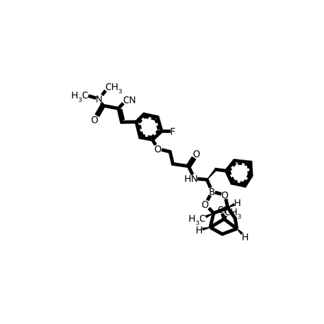 CN(C)C(=O)/C(C#N)=C/c1ccc(F)c(OCCC(=O)N[C@@H](Cc2ccccc2)B2O[C@@H]3C[C@@H]4C[C@@H](C4(C)C)[C@]3(C)O2)c1